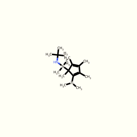 CC1=C(C)C(C)([Si](C)(C)NC(C)(C)C)[C]([Ti]([CH3])[CH3])=C1C